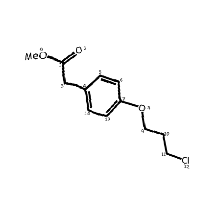 COC(=O)Cc1ccc(OCCCCl)cc1